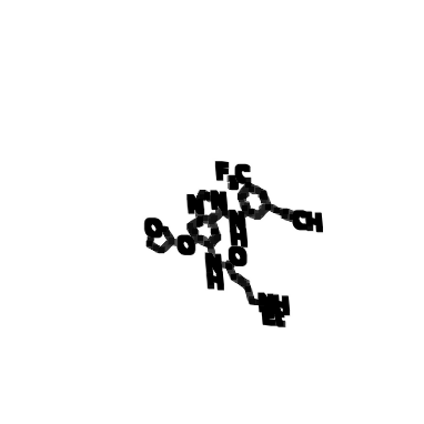 C#Cc1cc(Nc2ncnc3cc(OC4CCOC4)c(NC(=O)C=CCNCC)cc23)cc(C(F)(F)F)c1